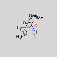 COc1cc2c(C(=O)N3CCC(F)CC3)cn(-c3cc(F)cc4c3ccn4C)c(=O)c2cc1OC